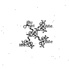 CCC(C)C(=O)NCC[Si](O[Si](C)(C)CC[Si](OC)(O[Si](C)(C)C)O[Si](C)(C)C)(O[Si](C)(C)CC[Si](OC)(O[Si](C)(C)C)O[Si](C)(C)C)O[Si](C)(C)C[Si](OC)(O[Si](C)(C)C)O[Si](C)(C)C